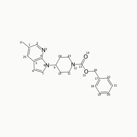 Cc1cnc2c(ccn2C2CCN(C(=O)OCc3ccccc3)CC2)c1